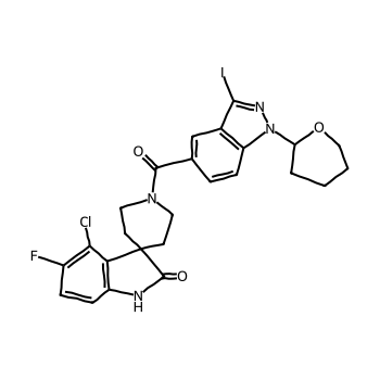 O=C(c1ccc2c(c1)c(I)nn2C1CCCCO1)N1CCC2(CC1)C(=O)Nc1ccc(F)c(Cl)c12